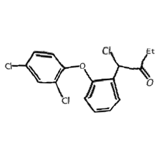 CCC(=O)C(Cl)c1ccccc1Oc1ccc(Cl)cc1Cl